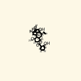 C=C[C@@H]1CC2C(C3C[C@@H]4[C@@H](OC)C[C@@]1(O)[C@@]3(O)[C@H]4C)[C@@H](OC)CC[C@]2(C)OC(=O)c1ccccc1O